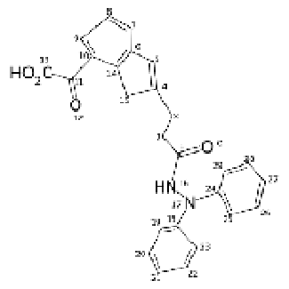 O=C(CCC1=Cc2cccc(C(=O)C(=O)O)c2C1)NN(c1ccccc1)c1ccccc1